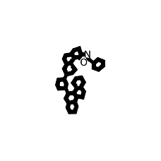 c1ccc(-c2nc3ccc4ccc5cc(-c6cccc(-c7cc8ccccc8c8ccc9ccccc9c78)c6)ccc5c4c3o2)cc1